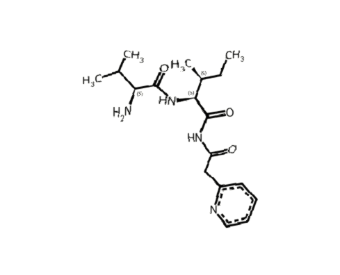 CC[C@H](C)[C@H](NC(=O)[C@@H](N)C(C)C)C(=O)NC(=O)Cc1ccccn1